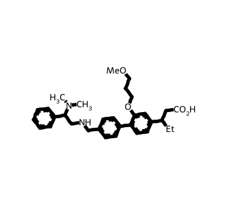 CCC(CC(=O)O)c1ccc(-c2ccc(CNCC(c3ccccc3)N(C)C)cc2)c(OCCCOC)c1